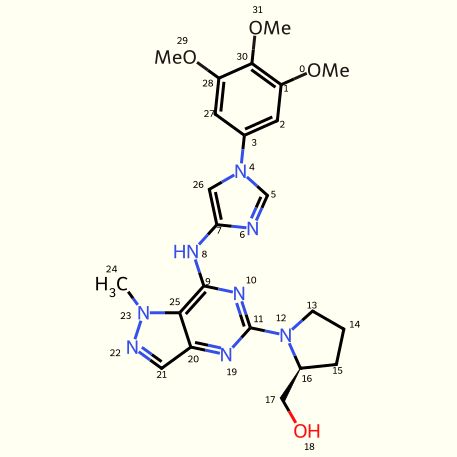 COc1cc(-n2cnc(Nc3nc(N4CCC[C@H]4CO)nc4cnn(C)c34)c2)cc(OC)c1OC